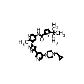 Cc1ncc(NC(=O)c2ccc(C(C)(C)C)s2)cc1-n1cc(-c2cncc(N3CCN(CC4CC4)CC3)c2)nn1